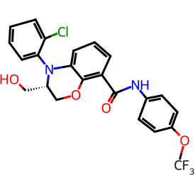 O=C(Nc1ccc(OC(F)(F)F)cc1)c1cccc2c1OC[C@H](CO)N2c1ccccc1Cl